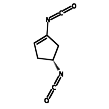 O=C=NC1=CC[C@@H](N=C=O)C1